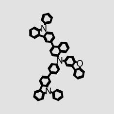 c1ccc(-n2c3ccccc3c3cc(-c4ccc(N(c5ccc(-c6ccc7c8ccccc8n(-c8ccccc8)c7c6)cc5)c5ccc6oc7ccccc7c6c5)c5ccccc45)ccc32)cc1